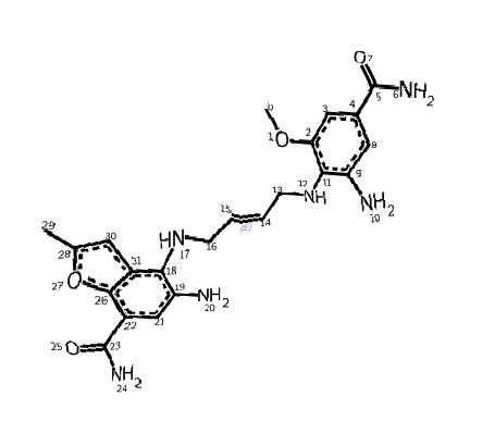 COc1cc(C(N)=O)cc(N)c1NC/C=C/CNc1c(N)cc(C(N)=O)c2oc(C)cc12